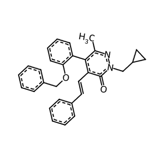 Cc1nn(CC2CC2)c(=O)c(C=Cc2ccccc2)c1-c1ccccc1OCc1ccccc1